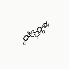 Cc1cn(-c2ccc3n(c2=O)C[C@@H](C)N(Cc2nn(C)c4ccc(Cl)cc24)C3=O)cn1